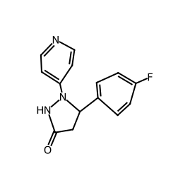 O=C1CC(c2ccc(F)cc2)N(c2ccncc2)N1